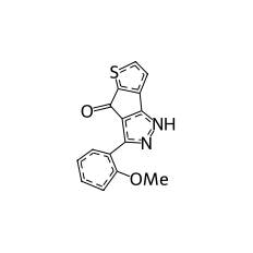 COc1ccccc1-c1n[nH]c2c1C(=O)c1sccc1-2